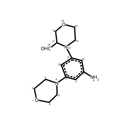 Nc1cc(N2CCOCC2)cc(N2CCOCC2C=O)c1